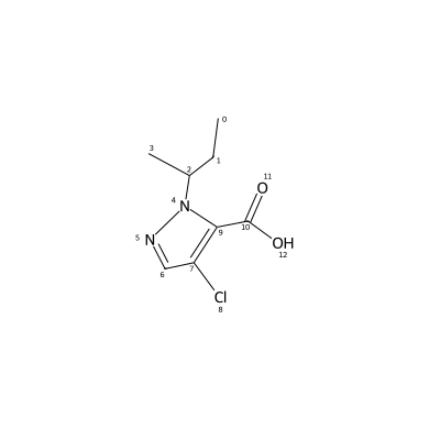 CCC(C)n1ncc(Cl)c1C(=O)O